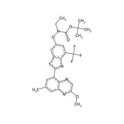 CCN(Oc1cc(C(F)(F)F)c2nc(-c3cc(C)cc4nc(OC)cnc34)sc2c1)C(=O)OC(C)(C)C